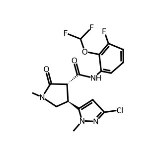 CN1C[C@H](c2cc(Cl)nn2C)[C@@H](C(=O)Nc2cccc(F)c2OC(F)F)C1=O